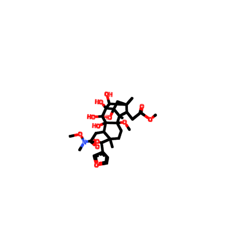 COC(=O)CC1C2(C)CC3(O)C(O)(C2O)C(O)C2(O)C(CC(=O)N(C)OC)C(C)(C(O)c4ccoc4)CCC2(OC)C13C